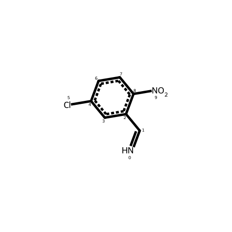 N=[C]c1cc(Cl)ccc1[N+](=O)[O-]